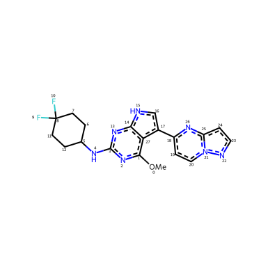 COc1nc(NC2CCC(F)(F)CC2)nc2[nH]cc(-c3ccn4nccc4n3)c12